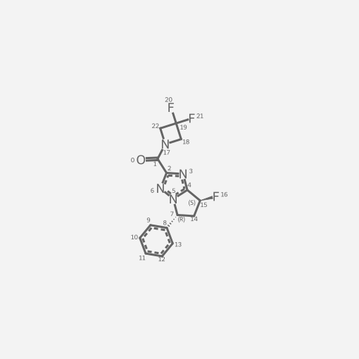 O=C(c1nc2n(n1)[C@@H](c1ccccc1)C[C@@H]2F)N1CC(F)(F)C1